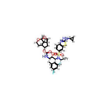 CC(C)CN(C[C@@H](O)[C@H](Cc1cc(F)cc(F)c1)NC(=O)O[C@H]1CC2CO[C@H]3OCCC1[C@@H]23)S(=O)(=O)c1ccc2nc(NC3CC3)sc2c1